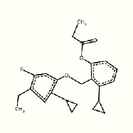 CCC(=O)Oc1cccc(C2CC2)c1COc1cc(F)c(CC)cc1C1CC1